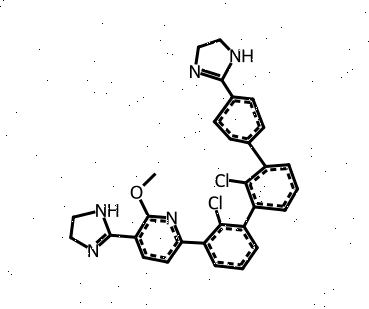 COc1nc(-c2cccc(-c3cccc(-c4ccc(C5=NCCN5)cc4)c3Cl)c2Cl)ccc1C1=NCCN1